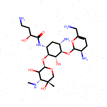 CN[C@@H]1C(O)[C@@H](O[C@@H]2[C@@H](O)[C@H](OC3OC(CN)=CC[C@H]3N)[C@@H](N)C[C@H]2NC(=O)[C@@H](O)CCN)OC[C@]1(C)O